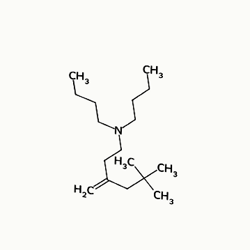 C=C(CCN(CCCC)CCCC)CC(C)(C)C